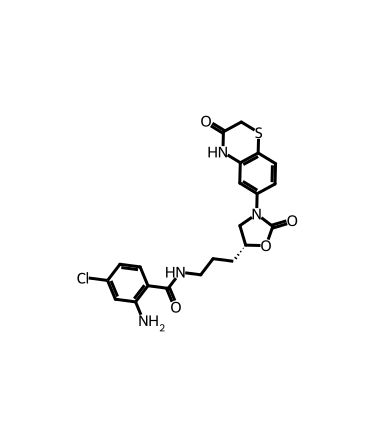 Nc1cc(Cl)ccc1C(=O)NCCC[C@@H]1CN(c2ccc3c(c2)NC(=O)CS3)C(=O)O1